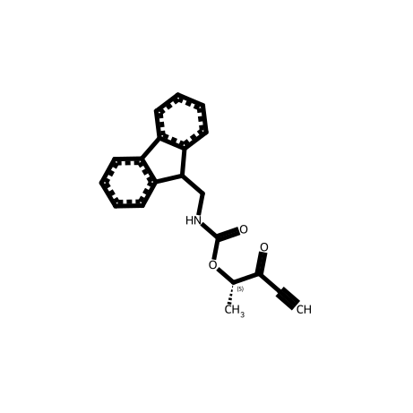 C#CC(=O)[C@H](C)OC(=O)NCC1c2ccccc2-c2ccccc21